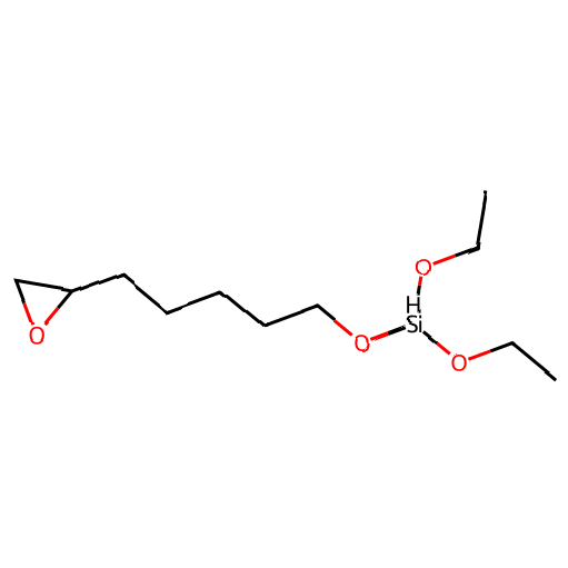 CCO[SiH](OCC)OCCCCCC1CO1